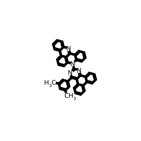 Cc1cc(C)cc(-c2nc(N3c4ccccc4-c4nc5ccccc5c5cccc3c45)nc3c4ccccc4c4ccccc4c23)c1